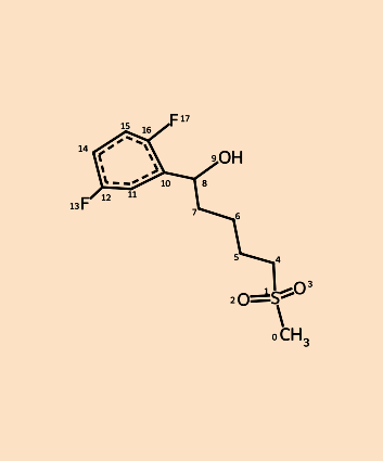 CS(=O)(=O)CCCCC(O)c1cc(F)ccc1F